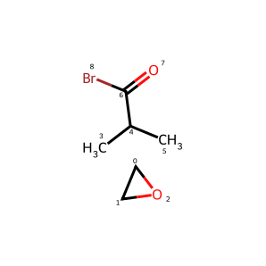 C1CO1.CC(C)C(=O)Br